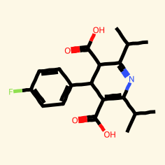 CC(C)C1=NC(C(C)C)=C(C(=O)O)C(c2ccc(F)cc2)C1C(=O)O